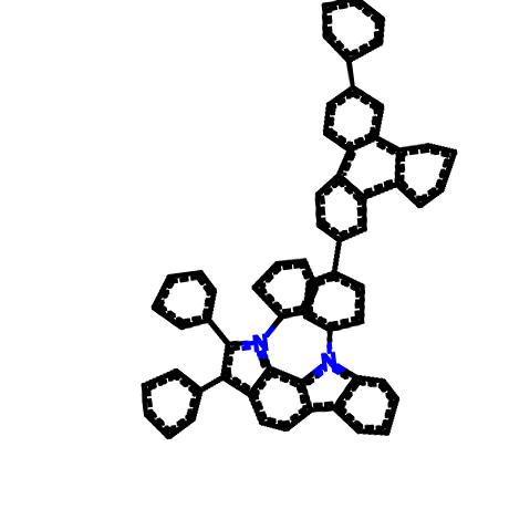 c1ccc(-c2ccc3c4ccc(-c5ccc(-n6c7ccccc7c7ccc8c(-c9ccccc9)c(-c9ccccc9)n(-c9ccccc9)c8c76)cc5)cc4c4ccccc4c3c2)cc1